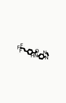 O=C(Nc1ccc2nccnc2c1)c1ccc(/C=C/C(F)(F)F)cc1